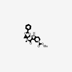 CN(C(=O)c1n[nH]c2c1CN(C(=O)OC(C)(C)C)CC2)C1(COC(=O)c2ccccc2)CC1